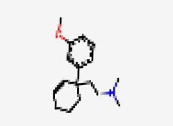 COc1cccc(C2(CCN(C)C)C=CCCC2)c1